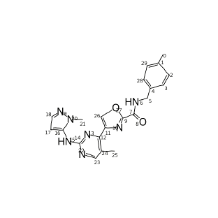 Cc1ccc(CNC(=O)c2nc(-c3nc(Nc4ccnn4C)ncc3C)co2)cc1